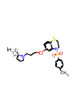 Cc1ccc(S(=O)(=O)N2CCSc3ccc(OCCCN4CCC[C@H]4C)cc32)cc1